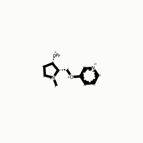 CCC[C@H]1CCN(C)[C@H]1COc1cccnc1